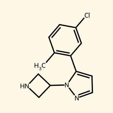 Cc1ccc(Cl)cc1-c1ccnn1C1CNC1